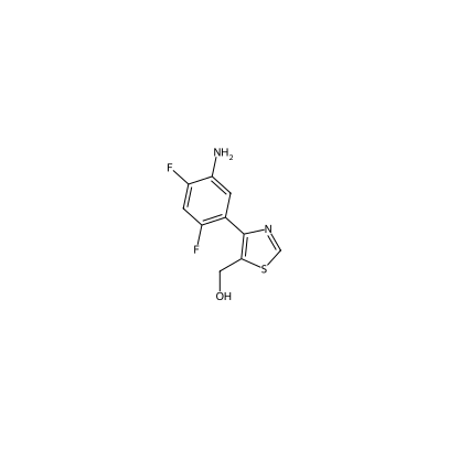 Nc1cc(-c2ncsc2CO)c(F)cc1F